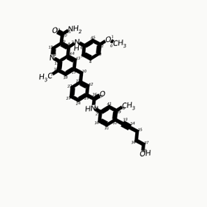 COc1cccc(Nc2c(C(N)=O)cnc3c(C)cc(Cc4cccc(C(=O)Nc5ccc(C#CCCCO)c(C)c5)c4)cc23)c1